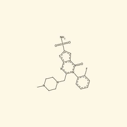 CN1CCN(Cc2nc3sc(S(N)(=O)=O)cc3c(=O)n2-c2ccccc2F)CC1